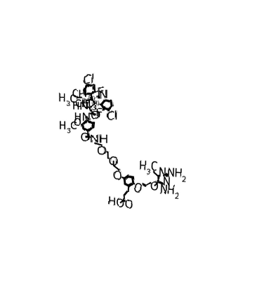 CCc1nc(N)nc(N)c1OCCCOc1ccc(OCCOCCOCCNC(=O)c2ccc(NC(=O)C3N[C@H](CC(C)(C)C)[C@@](C#N)(c4ccc(Cl)cc4F)[C@@H]3c3cccc(Cl)c3F)c(OC)c2)cc1CCC(=O)O